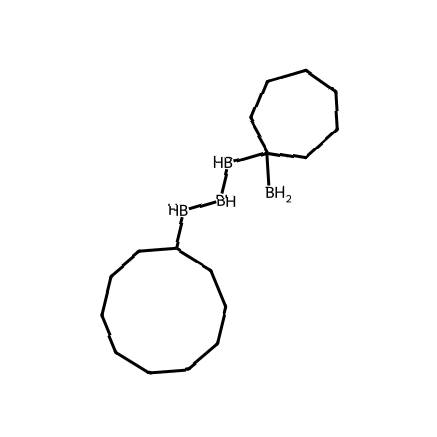 BC1(BBBC2CCCCCCCCC2)CCCCCC1